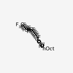 CCCCCCCCc1cnc(-c2ccc(OC(F)C(F)(F)C(F)(F)C(F)(F)C(F)(F)C(F)(F)OC(F)(F)C(F)(F)OC(F)(F)C(F)(F)C(F)(F)C(F)(F)F)cc2)nc1